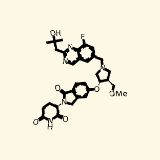 COC[C@@H]1CN(Cc2cc(F)c3nc(CC(C)(C)O)ncc3c2)C[C@H]1Oc1ccc2c(c1)CN([C@H]1CCC(=O)NC1=O)C2=O